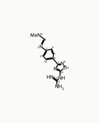 CN/C=N/c1ccc(-c2noc(NC(=N)N)n2)cc1